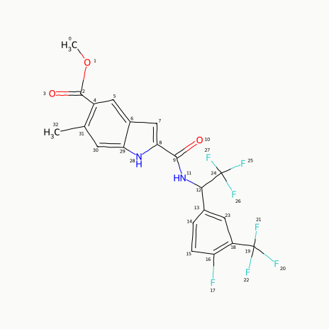 COC(=O)c1cc2cc(C(=O)NC(c3ccc(F)c(C(F)(F)F)c3)C(F)(F)F)[nH]c2cc1C